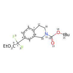 CCOC(=O)C(F)(F)c1ccc2c(c1)CN(C(=O)OC(C)(C)C)CC2